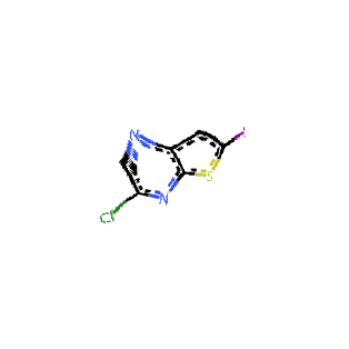 Clc1cnc2cc(I)sc2n1